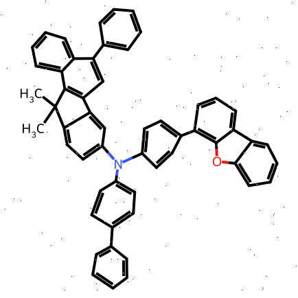 CC1(C)c2ccc(N(c3ccc(-c4ccccc4)cc3)c3ccc(-c4cccc5c4oc4ccccc45)cc3)cc2-c2cc(-c3ccccc3)c3ccccc3c21